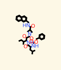 CCC(C)C(NC(=O)C(CC(C)C)NC(=O)OCc1ccccc1)C(=O)C(=O)N1CC(C(=O)NCc2ccc3ccccc3c2)C1